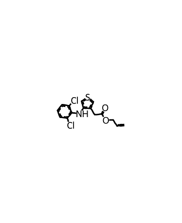 C=CCOC(=O)Cc1cscc1Nc1c(Cl)cccc1Cl